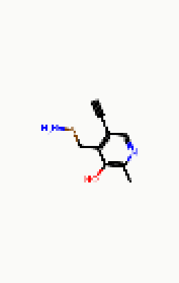 C#Cc1cnc(C)c(O)c1CSN